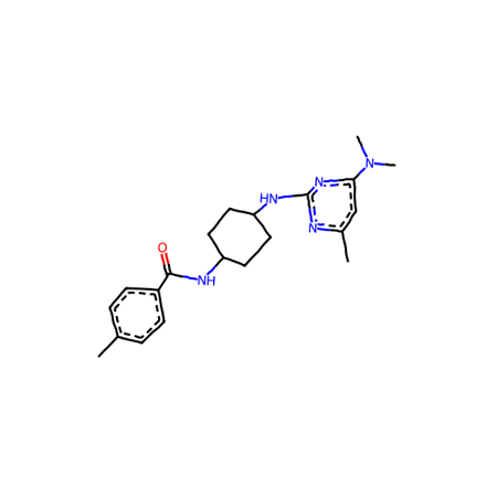 Cc1ccc(C(=O)NC2CCC(Nc3nc(C)cc(N(C)C)n3)CC2)cc1